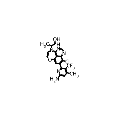 Cc1cc(N)nc(-c2cc3c4c(c2Cl)=NCNC=4N(C(C)CO)C=CO3)c1C(F)(F)F